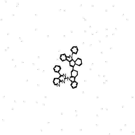 C1=CC2C(C3=Cc4c(c5ccccc5n4-c4nc(-c5ccccc5)c5cccnc5n4)CC3)=Cc3c(n(-c4ccccc4)c4ccccc34)C2C=C1